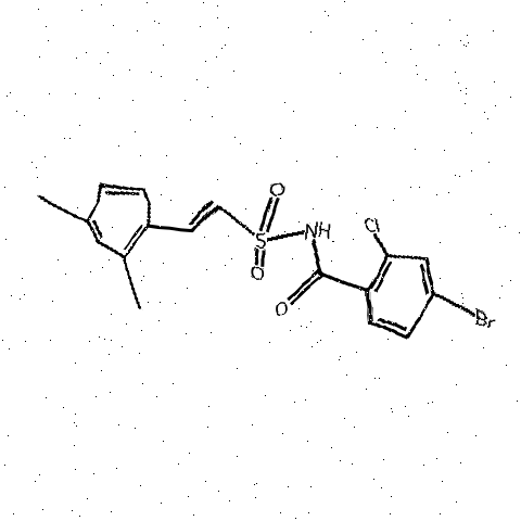 Cc1ccc(C=CS(=O)(=O)NC(=O)c2ccc(Br)cc2Cl)c(C)c1